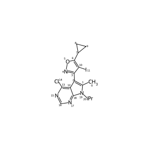 Cc1c(-c2noc(C3CC3)c2I)c2c(Cl)ncnc2n1C(C)C